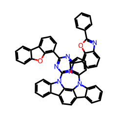 c1ccc(-c2nc3cccc(-c4nc(-c5cccc6c5oc5ccccc56)nc(-n5c6ccccc6c6ccc7c8ccccc8n(-c8ccccc8)c7c65)n4)c3o2)cc1